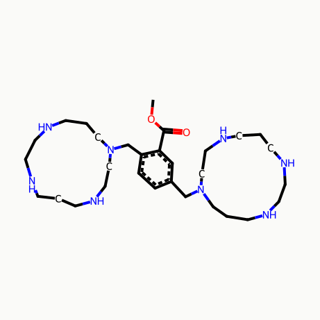 COC(=O)c1cc(CN2CCCNCCNCCCNCC2)ccc1CN1CCCNCCNCCCNCC1